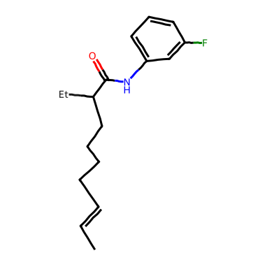 C/C=C/CCCCC(CC)C(=O)Nc1cccc(F)c1